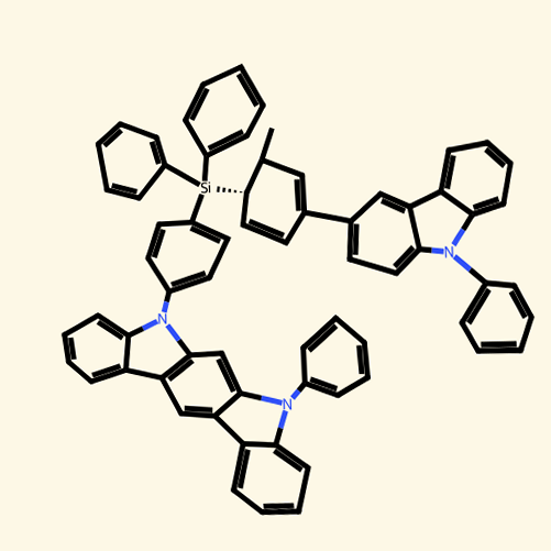 CC1C=C(c2ccc3c(c2)c2ccccc2n3-c2ccccc2)C=C[C@@H]1[Si](c1ccccc1)(c1ccccc1)c1ccc(-n2c3ccccc3c3cc4c5ccccc5n(-c5ccccc5)c4cc32)cc1